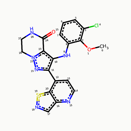 COc1c(Cl)cccc1Nc1c(-c2ccnc3cnsc23)nn2c1C(=O)NCC2